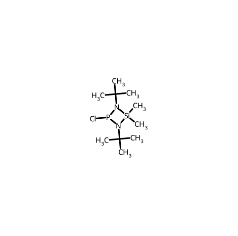 CC(C)(C)N1P(Cl)N(C(C)(C)C)[Si]1(C)C